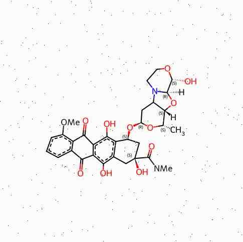 CNC(=O)[C@]1(O)Cc2c(O)c3c(c(O)c2[C@@H](O[C@H]2CC4[C@H](O[C@@H]5[C@@H](O)OCCN45)[C@H](C)O2)C1)C(=O)c1c(OC)cccc1C3=O